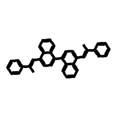 C/C(=C\c1ccc(-c2ccc(/C=C(\C)c3ccccc3)c3ccccc23)c2ccccc12)c1ccccc1